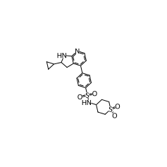 O=S1(=O)CCC(NS(=O)(=O)c2ccc(-c3ccnc4c3CC(C3CC3)N4)cc2)CC1